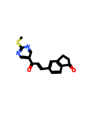 CSc1ncc(C(=O)C=Cc2ccc3c(c2)CCC3=O)cn1